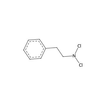 ClN(Cl)CCc1ccccc1